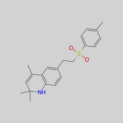 CC1=CC(C)(C)Nc2ccc(CCS(=O)(=O)c3ccc(C)cc3)cc21